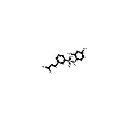 O=C(Cl)/C=C/c1cccc(S(=O)(=O)Nc2ccc(F)cc2F)c1